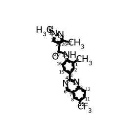 Cc1cc(-c2ncc3cc(C(F)(F)F)ccc3n2)ccc1NC(=O)c1cn(C)nc1C